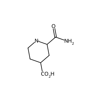 NC(=O)C1CC(C(=O)O)CC[N]1